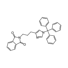 O=C1c2ccccc2C(=O)N1CCCc1cn(C(c2ccccc2)(c2ccccc2)c2ccccc2)cn1